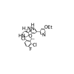 CCOc1cncc(C2=CN[C@](N)(C3=CCNCC3)C(OC(C)c3c(Cl)ccc(F)c3Cl)=C2)c1